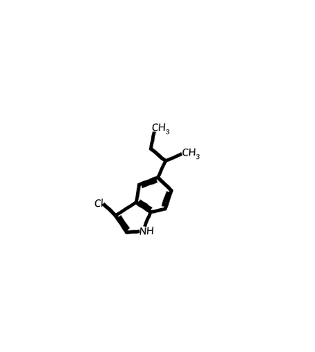 CCC(C)c1ccc2[nH]cc(Cl)c2c1